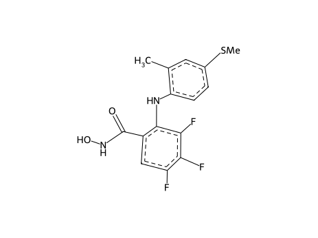 CSc1ccc(Nc2c(C(=O)NO)cc(F)c(F)c2F)c(C)c1